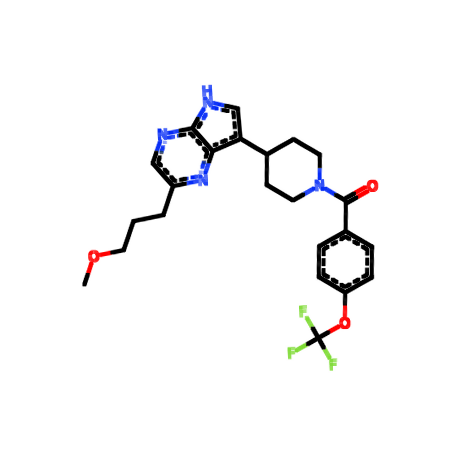 COCCCc1cnc2[nH]cc(C3CCN(C(=O)c4ccc(OC(F)(F)F)cc4)CC3)c2n1